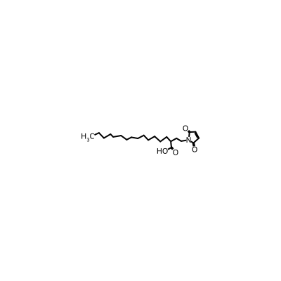 CCCCCCCCCCCCCCC(CCN1C(=O)C=CC1=O)C(=O)O